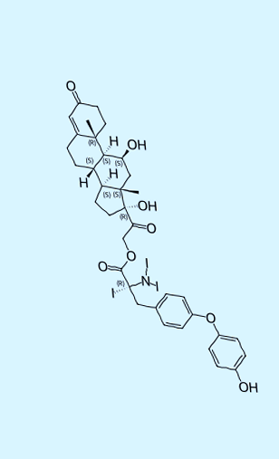 C[C@]12CCC(=O)C=C1CC[C@@H]1[C@@H]2[C@@H](O)C[C@@]2(C)[C@H]1CC[C@]2(O)C(=O)COC(=O)[C@](I)(Cc1ccc(Oc2ccc(O)cc2)cc1)N(I)I